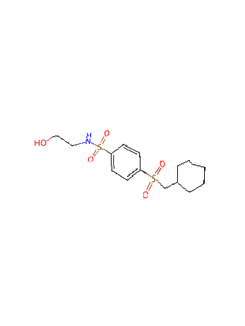 O=S(=O)(CC1CCCCC1)c1ccc(S(=O)(=O)NCCO)cc1